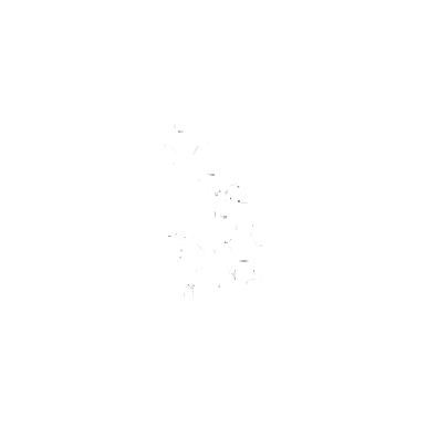 Cc1nc2ccc(C(=O)NS(=O)(=O)C=Cc3ccccc3)nc2n1Cc1ccc(Cl)cc1Cl